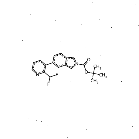 CC(C)(C)OC(=O)n1cc2ccc(-c3cccnc3C(F)F)cc2c1